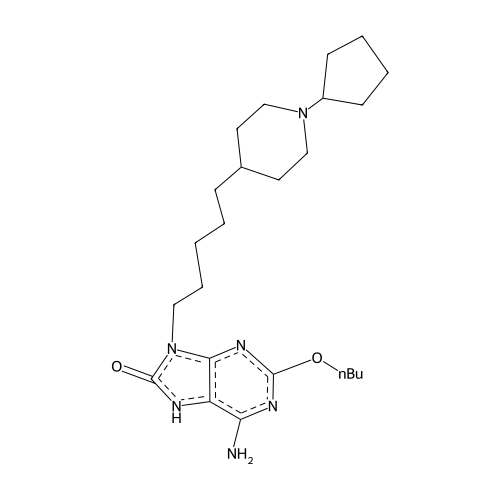 CCCCOc1nc(N)c2[nH]c(=O)n(CCCCCC3CCN(C4CCCC4)CC3)c2n1